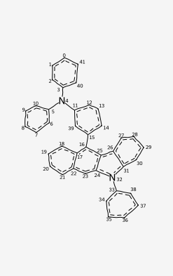 c1ccc(N(c2ccccc2)c2cccc(-c3c4ccccc4cc4c3c3ccccc3n4-c3ccccc3)c2)cc1